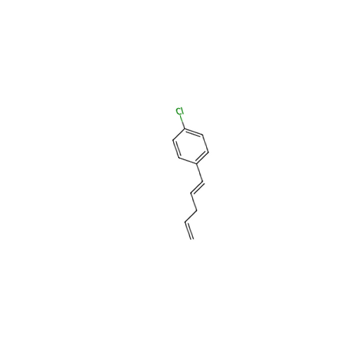 C=CCC=Cc1ccc(Cl)cc1